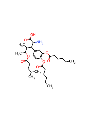 CCCCCC(=O)Oc1ccc(C(C(C)C(C)OC(=O)CCC(C)C)[C@H](N)C(=O)O)cc1OC(=O)CCCCC